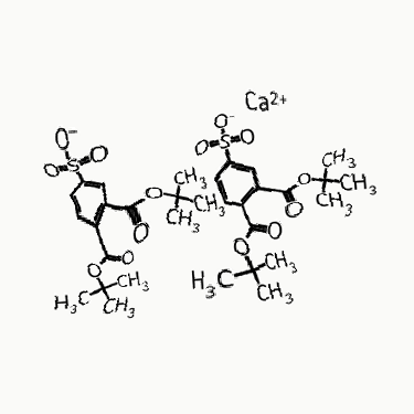 CC(C)(C)OC(=O)c1ccc(S(=O)(=O)[O-])cc1C(=O)OC(C)(C)C.CC(C)(C)OC(=O)c1ccc(S(=O)(=O)[O-])cc1C(=O)OC(C)(C)C.[Ca+2]